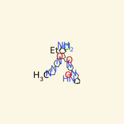 CCc1cc(C[C@@H](CC(=O)N2CCC(N3CCc4ccccc4NC3=O)CC2)C(=O)N2CCC(N3CCCN(C)CC3)CC2)cc(Cl)c1N